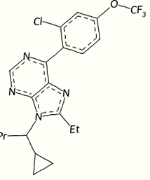 CCCC(C1CC1)n1c(CC)nc2c(-c3ccc(OC(F)(F)F)cc3Cl)ncnc21